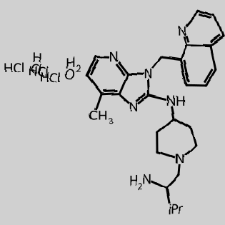 Cc1ccnc2c1nc(NC1CCN(CC(N)C(C)C)CC1)n2Cc1cccc2cccnc12.Cl.Cl.Cl.Cl.O